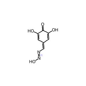 O=C1C(O)=CC(=C/N=N/O)C=C1O